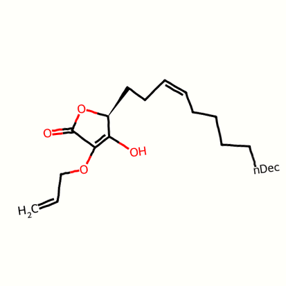 C=CCOC1=C(O)[C@H](CC/C=C\CCCCCCCCCCCCCC)OC1=O